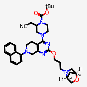 CC(C)(C)OC(=O)N1CCN(c2nc(OCCCN3C[C@@H]4C[C@H]3CO4)nc3c2CCN(c2cccc4ccccc24)C3)CC1CC#N